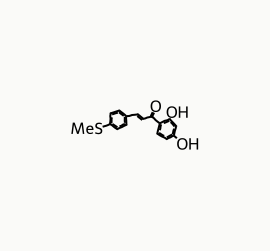 CSc1ccc(C=CC(=O)c2ccc(O)cc2O)cc1